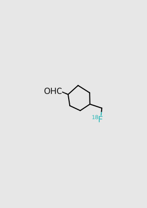 O=CC1CCC(C[18F])CC1